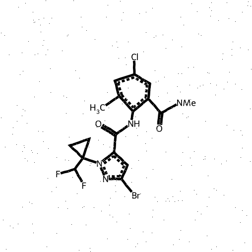 CNC(=O)c1cc(Cl)cc(C)c1NC(=O)c1cc(Br)nn1C1(C(F)F)CC1